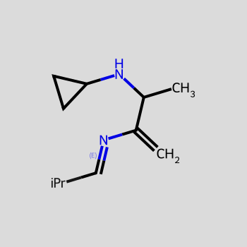 C=C(/N=C/C(C)C)C(C)NC1CC1